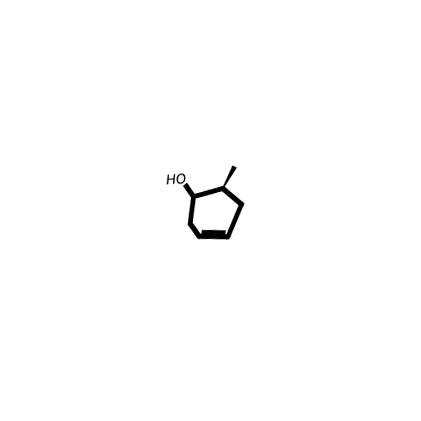 C[C@H]1CC=CCC1O